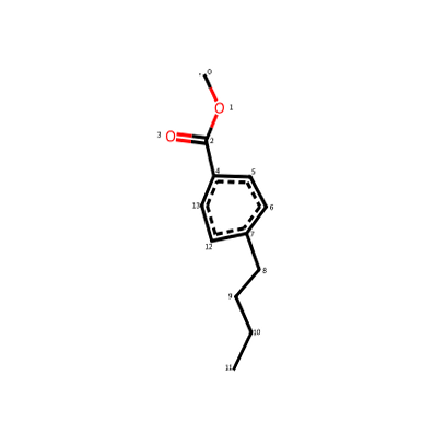 [CH2]OC(=O)c1ccc(CCCC)cc1